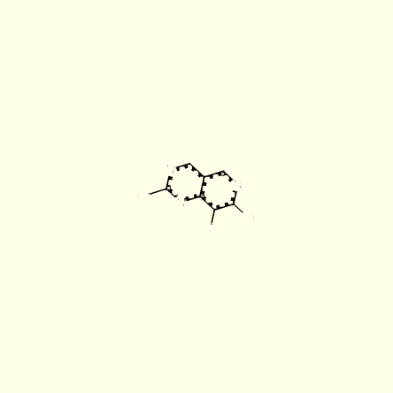 Fc1c(Cl)ncc2cnc(Cl)nc12